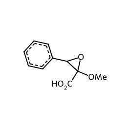 COC1(C(=O)O)OC1c1ccccc1